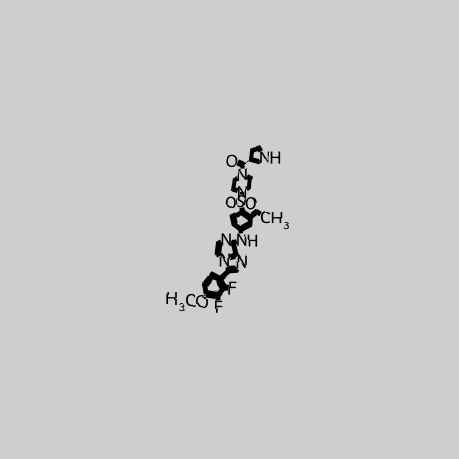 CCc1cc(Nc2nccn3c(-c4ccc(OC)c(F)c4F)cnc23)ccc1S(=O)(=O)N1CCN(C(=O)[C@@H]2CCNC2)CC1